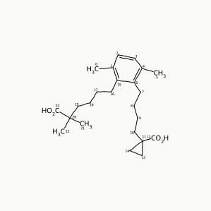 Cc1ccc(C)c(CCCCC2(C(=O)O)CC2)c1CCCCC(C)(C)C(=O)O